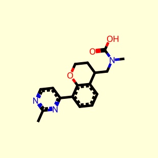 Cc1nccc(-c2cccc3c2OCCC3CN(C)C(=O)O)n1